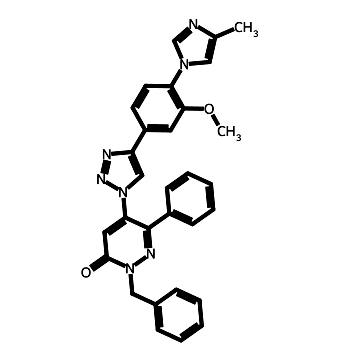 COc1cc(-c2cn(-c3cc(=O)n(Cc4ccccc4)nc3-c3ccccc3)nn2)ccc1-n1cnc(C)c1